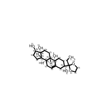 CCC1([C@]2(O)CC[C@@]3(C)C(=CC[C@H]4[C@@H]5CC[C@@H](O)[C@@]5(C)CC[C@@H]43)C2)OCCO1